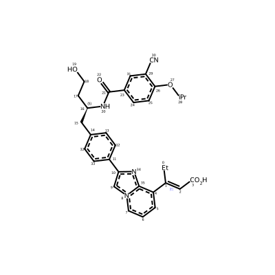 CC/C(=C\C(=O)O)c1cccn2cc(-c3ccc(C[C@@H](CCO)NC(=O)c4ccc(OC(C)C)c(C#N)c4)cc3)nc12